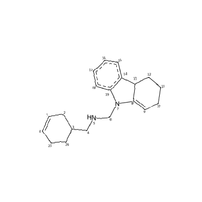 C1=CCC(CNCN2C3=CCCCC3c3ccccc32)CC1